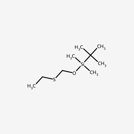 CCSCO[Si](C)(C)C(C)(C)C